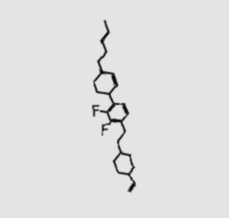 C=CC1CCC(CCc2ccc(C3C=CC(CCCCC)CC3)c(F)c2F)CC1